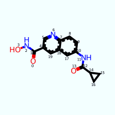 O=C(NO)c1cnc2ccc(NC(=O)C3CC3)cc2c1